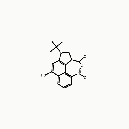 CC(C)(C)N1CC(C(Cl)Cl)c2c1cc(O)c1cccc([N+](=O)[O-])c21